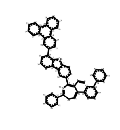 C=CC1=C(c2ccc3oc4c(-c5ccc6c7ccccc7c7ccccc7c6c5)cccc4c3c2)N=C(c2ccccc2)CC=C1c1cccc(-c2ccccc2)c1